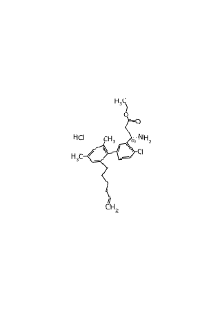 C=CCCCCc1cc(C)cc(C)c1-c1ccc(Cl)c([C@@H](N)CC(=O)OCC)c1.Cl